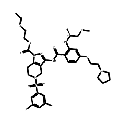 CCOCCOC(=O)n1nc(NC(=O)c2ccc(OCCN3CCCC3)cc2N[C@@H](C)COC)c2c1CCN(S(=O)(=O)c1cc(F)cc(F)c1)C2